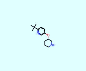 CC(C)(C)c1ccc(O[C@H]2CCCNC2)cn1